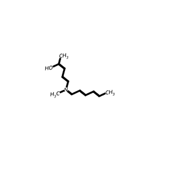 CCCCCCN(C)CCCC(C)O